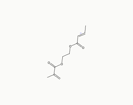 C=C(C)C(=O)OCCOC(=O)/C=C/C